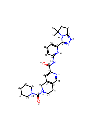 CC1(C)CCc2nnc(-c3cccc(NC(=O)c4cc5c(cn4)CCN(C(=O)N4CCCCC4)C5)n3)n21